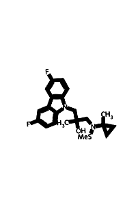 CSN(CC(C)(O)Cn1c2ccc(F)cc2c2cc(F)ccc21)C1(C)CC1